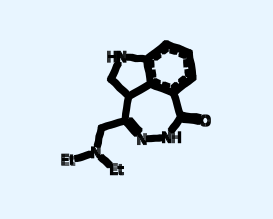 CCN(CC)CC1=NNC(=O)c2cccc3c2C1CN3